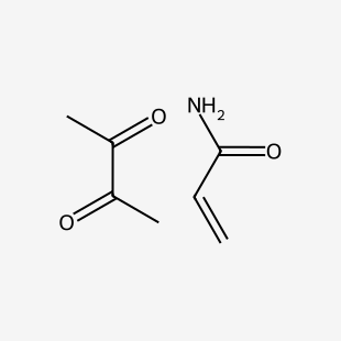 C=CC(N)=O.CC(=O)C(C)=O